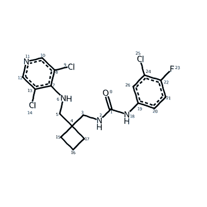 O=C(NCC1(CNc2c(Cl)cncc2Cl)CCC1)Nc1ccc(F)c(Cl)c1